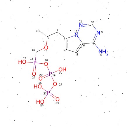 C[C@H](Cc1ccc2c(N)ncnn12)OCP(=O)(O)OP(=O)(O)OP(=O)(O)O